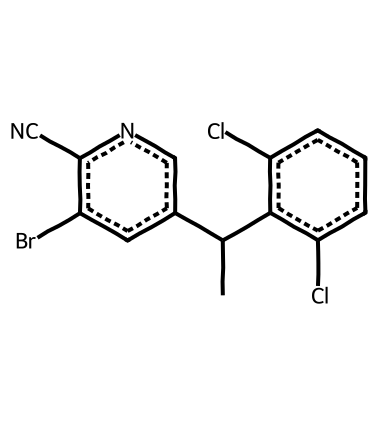 CC(c1cnc(C#N)c(Br)c1)c1c(Cl)cccc1Cl